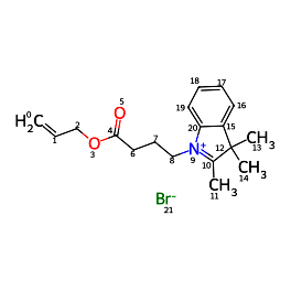 C=CCOC(=O)CCC[N+]1=C(C)C(C)(C)c2ccccc21.[Br-]